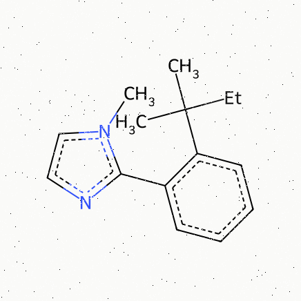 CCC(C)(C)c1ccccc1-c1nccn1C